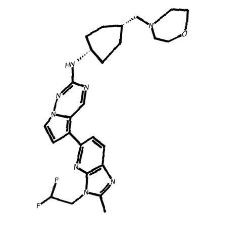 Cc1nc2ccc(-c3ccn4nc(N[C@H]5CC[C@@H](CN6CCOCC6)CC5)ncc34)nc2n1CC(F)F